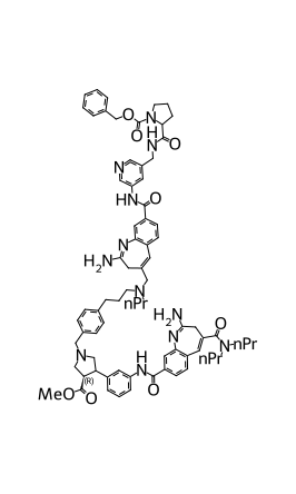 CCCN(CCCc1ccc(CN2CC(c3cccc(NC(=O)c4ccc5c(c4)N=C(N)CC(C(=O)N(CCC)CCC)=C5)c3)[C@@H](C(=O)OC)C2)cc1)CC1=Cc2ccc(C(=O)Nc3cncc(CNC(=O)C4CCCN4C(=O)OCc4ccccc4)c3)cc2N=C(N)C1